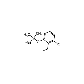 CC(C)(C)[Si](C)(C)Oc1cccc(Cl)c1CI